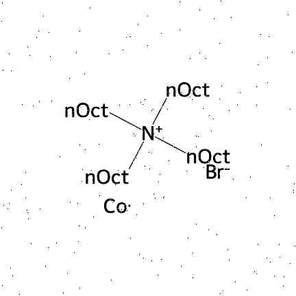 CCCCCCCC[N+](CCCCCCCC)(CCCCCCCC)CCCCCCCC.[Br-].[Co]